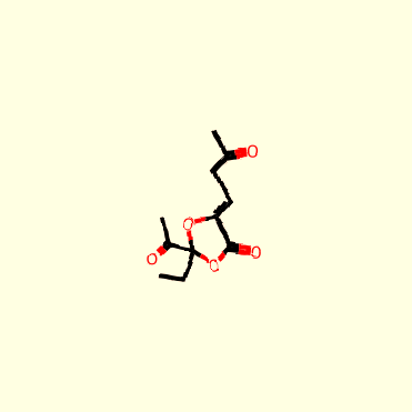 CCC1(C(C)=O)OC(=O)/C(=C/CC(C)=O)O1